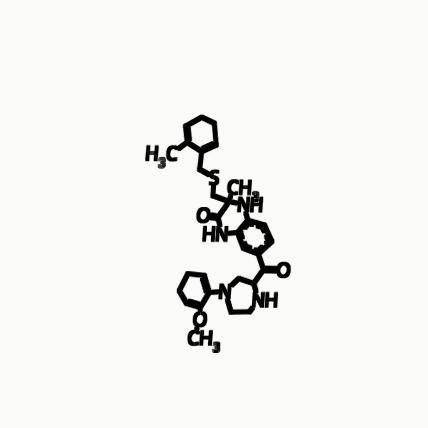 COC1=CCCC=C1N1CCNC(C(=O)c2ccc3c(c2)NC(=O)C(C)(CSCC2=CCCC=C2C)N3)C1